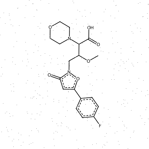 COC(Cn1oc(-c2ccc(F)cc2)cc1=O)C(C(=O)O)N1CCOCC1